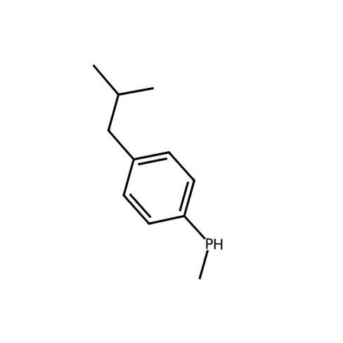 CPc1ccc(CC(C)C)cc1